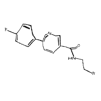 CC(C)CCNC(=O)c1ccc(-c2ccc(F)cc2)nc1